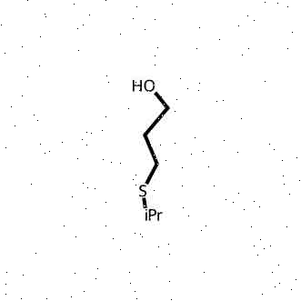 CC(C)SCCCO